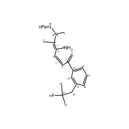 C=C(/C=C\C(N)=C(/C)N(C)CCCCC)c1cccc(CC(C)(C)F)c1